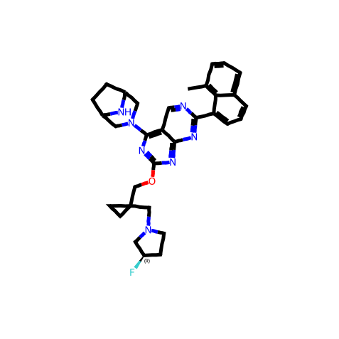 Cc1cccc2cccc(-c3ncc4c(N5CC6CCC(C5)N6)nc(OCC5(CN6CC[C@@H](F)C6)CC5)nc4n3)c12